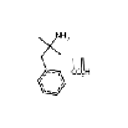 C=C.CC(=O)O.CC(C)(N)Cc1ccccc1